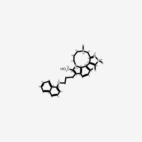 Cc1ccc2c(CCCOc3cccc4ccccc34)c(C(=O)O)n3c2c1-c1c(nn(C)c1C)CN(C)CCC3